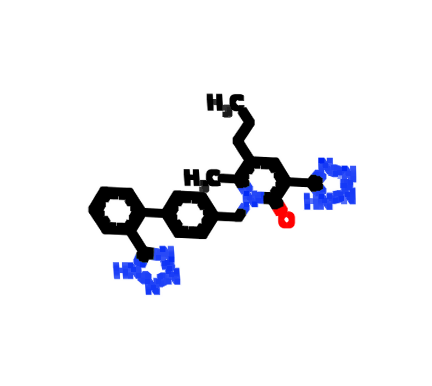 CCCc1cc(-c2nnn[nH]2)c(=O)n(Cc2ccc(-c3ccccc3-c3nnn[nH]3)cc2)c1C